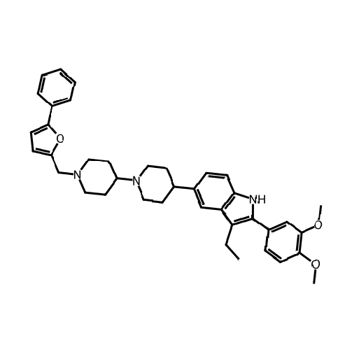 CCc1c(-c2ccc(OC)c(OC)c2)[nH]c2ccc(C3CCN(C4CCN(Cc5ccc(-c6ccccc6)o5)CC4)CC3)cc12